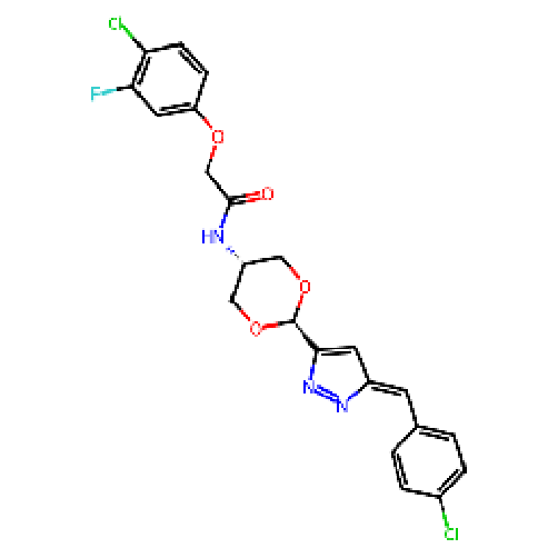 O=C(COc1ccc(Cl)c(F)c1)N[C@H]1CO[C@H](C2=C/C(=C/c3ccc(Cl)cc3)N=N2)OC1